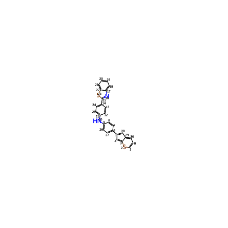 c1csc2cc(-c3ccc(Nc4ccc(-c5nc6ccccc6s5)cc4)cc3)cc-2c1